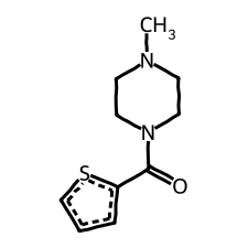 CN1CCN(C(=O)c2cccs2)CC1